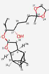 CC[C@H](O[C@H]1C[C@H]2C3CC[C@@](C)([C@H]2O1)C3(C)C)[C@@H](O)CCCC1(C)OCCO1